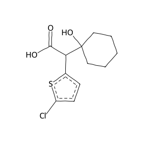 O=C(O)C(c1ccc(Cl)s1)C1(O)CCCCC1